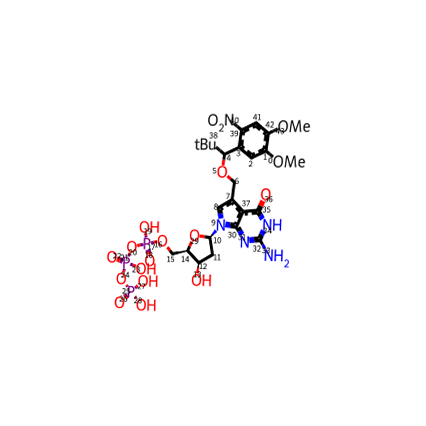 COc1cc(C(OCc2cn([C@H]3C[C@@H](O)[C@@H](COP(=O)(O)OP(=O)(O)OP(=O)(O)O)O3)c3nc(N)[nH]c(=O)c23)C(C)(C)C)c([N+](=O)[O-])cc1OC